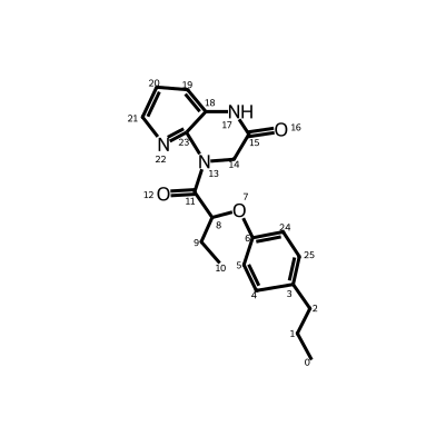 CCCc1ccc(OC(CC)C(=O)N2CC(=O)Nc3cccnc32)cc1